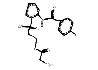 CCC(CC)(CCOC(=O)CC(=O)O)c1ccccc1N(C)C(=O)c1ccc(Cl)cc1